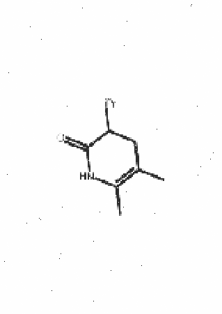 CC1=C(C)NC(=O)C(C(C)C)C1